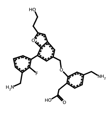 NCc1ccc(CC(=O)O)c(OCc2cc(-c3cccc(CN)c3F)c3oc(CCO)cc3c2)c1